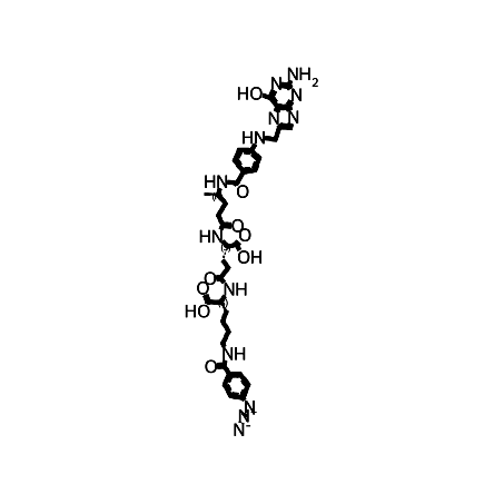 C[C@H](CCC(=O)N[C@@H](CCC(=O)N[C@@H](CCCCNC(=O)c1ccc(N=[N+]=[N-])cc1)C(=O)O)C(=O)O)NC(=O)c1ccc(NCc2cnc3nc(N)nc(O)c3n2)cc1